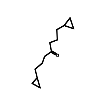 O=C(CCCC1CC1)CCCC1CC1